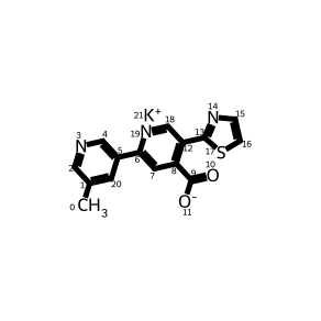 Cc1cncc(-c2cc(C(=O)[O-])c(-c3nccs3)cn2)c1.[K+]